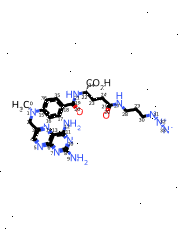 CN(Cc1cnc2nc(N)nc(N)c2n1)c1ccc(C(=O)N[C@@H](CCC(=O)NCCCN=[N+]=[N-])C(=O)O)cc1